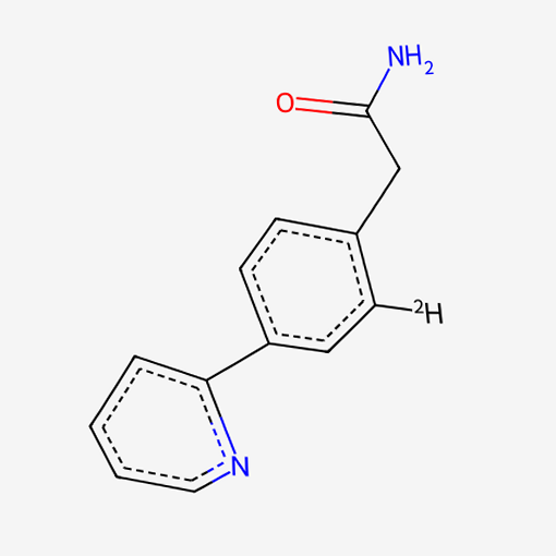 [2H]c1cc(-c2ccccn2)ccc1CC(N)=O